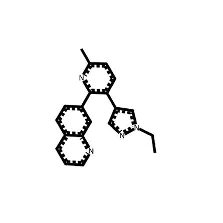 CCn1cc(-c2ccc(C)nc2-c2ccc3cccnc3c2)cn1